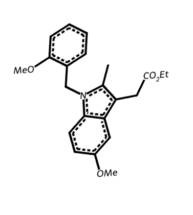 CCOC(=O)Cc1c(C)n(Cc2ccccc2OC)c2ccc(OC)cc12